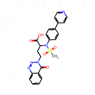 CS(=O)(=O)N(c1ccc(-c2ccncc2)cc1)C(CCn1nnc2ccccc2c1=O)C(=O)O